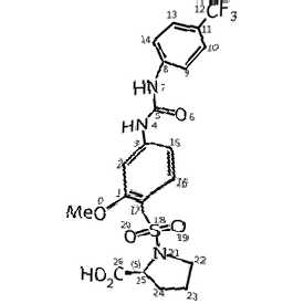 COc1cc(NC(=O)Nc2ccc(C(F)(F)F)cc2)ccc1S(=O)(=O)N1CCC[C@H]1C(=O)O